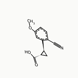 COc1ccc(C#N)c([C@H]2C[C@@H]2C(=O)O)c1